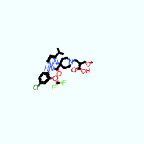 COCC(CN1CCC(C(=O)Nc2ccc(Cl)cc2OC(F)F)(n2nccc2C(C)C)CC1)C(=O)O